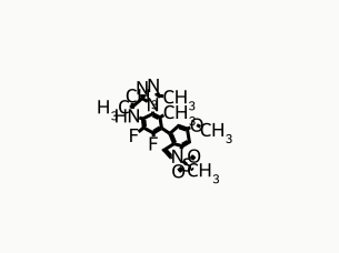 COc1cc(-c2c(C)c3c(c(F)c2F)NC(C)(C)c2nnc(C)n2-3)c2ccn(S(C)(=O)=O)c2c1